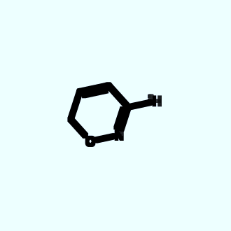 [2H]C1=NOCC=C1